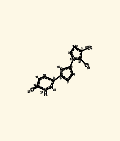 CCc1ncn(-c2ccc(-c3ccc(=O)[nH]n3)s2)c1CC